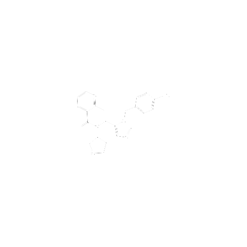 Cc1ncccc1C(=O)N(Cc1cncn1Cc1ccc(C#N)cc1)[C@@H]1CCNC1